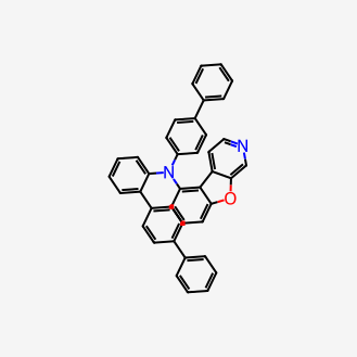 c1ccc(-c2ccc(-c3ccccc3N(c3ccc(-c4ccccc4)cc3)c3cccc4oc5cnccc5c34)cc2)cc1